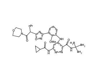 BC(B)(B)NC(=O)c1nnc(NC(=O)C2CC2)cc1Nc1cccc(-c2noc(C(CCC)C(=O)N3CCOCC3)n2)c1OC